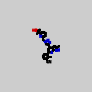 Cc1cc2c(-c3cn(Cc4cccc(C(C)(C)O)n4)nn3)cc(-c3cccc(C#N)c3C)nc2[nH]1